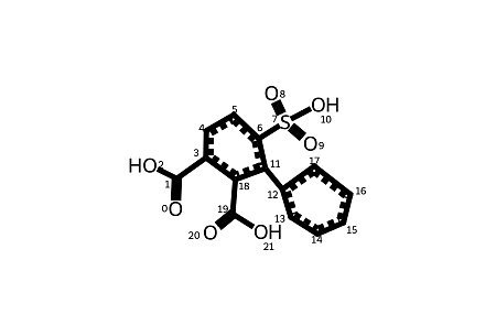 O=C(O)c1ccc(S(=O)(=O)O)c(-c2ccccc2)c1C(=O)O